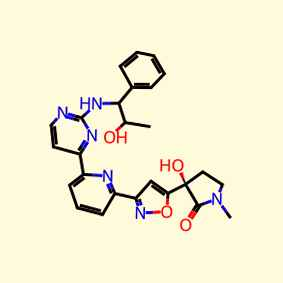 CC(O)C(Nc1nccc(-c2cccc(-c3cc([C@]4(O)CCN(C)C4=O)on3)n2)n1)c1ccccc1